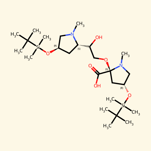 CN1C[C@H](O[Si](C)(C)C(C)(C)C)C[C@H]1C(O)CO[C@]1(C(=O)O)C[C@@H](O[Si](C)(C)C(C)(C)C)CN1C